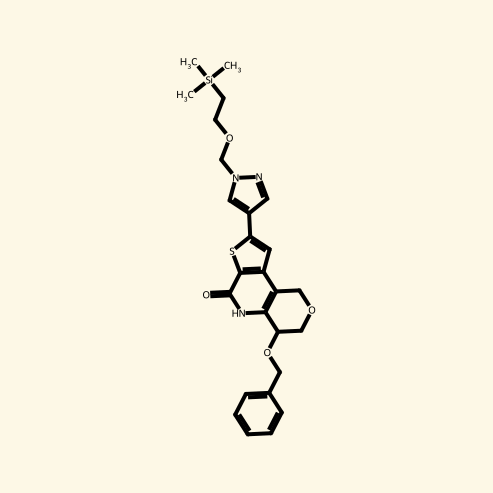 C[Si](C)(C)CCOCn1cc(-c2cc3c4c([nH]c(=O)c3s2)C(OCc2ccccc2)COC4)cn1